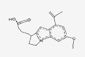 C=C(C)c1cc(OC)cc2c1cc1n2CCC1CC(=O)O